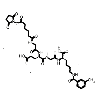 Cc1cccc(C(=O)NCCCC[C@@H](NC(=O)CNC(=O)[C@@H](CCC(=O)O)NC(=O)CNC(=O)CCCCC(=O)ON2C(=O)CCC2=O)C(=O)O)c1